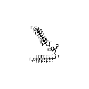 OCC(CCl)(CSC(F)CC(F)(F)C(F)(F)C(F)(F)C(F)(F)C(F)(F)C(F)(F)C(F)(F)C(F)(F)F)CSC(F)CC(F)(F)C(F)(F)C(F)(F)C(F)(F)C(F)(F)C(F)(F)C(F)(F)C(F)(F)F